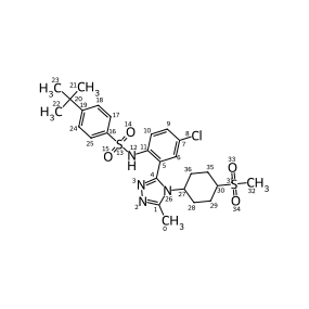 Cc1nnc(-c2cc(Cl)ccc2NS(=O)(=O)c2ccc(C(C)(C)C)cc2)n1C1CCC(S(C)(=O)=O)CC1